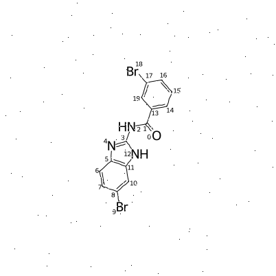 O=C(Nc1nc2ccc(Br)cc2[nH]1)c1cccc(Br)c1